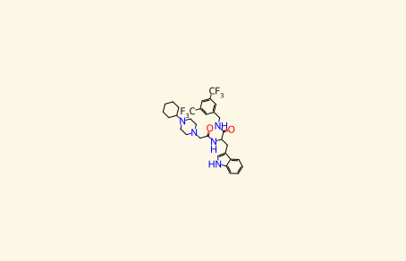 O=C(CN1CCN(C2CCCCC2)CC1)NC(Cc1c[nH]c2ccccc12)C(=O)NCc1cc(C(F)(F)F)cc(C(F)(F)F)c1